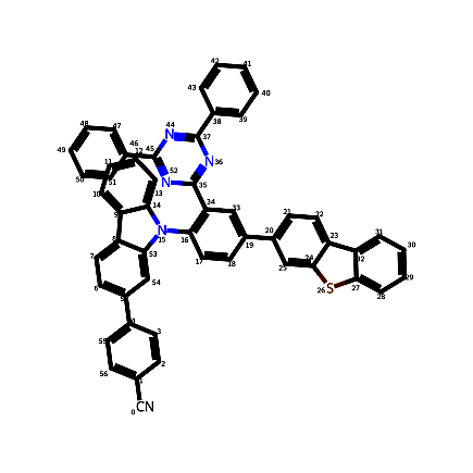 N#Cc1ccc(-c2ccc3c4ccccc4n(-c4ccc(-c5ccc6c(c5)sc5ccccc56)cc4-c4nc(-c5ccccc5)nc(-c5ccccc5)n4)c3c2)cc1